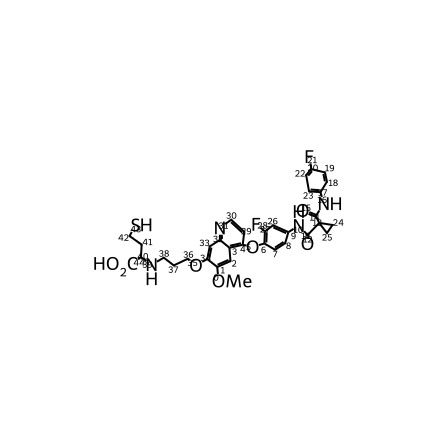 COc1cc2c(Oc3ccc(NC(=O)C4(C(=O)Nc5ccc(F)cc5)CC4)cc3F)ccnc2cc1OCCCNC(CCS)C(=O)O